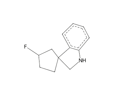 FC1CCC2(CNc3ccccc32)C1